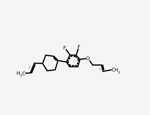 C/C=C/COc1ccc(C2=CCC(/C=C/C)CC2)c(F)c1F